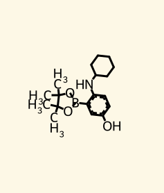 CC1(C)OB(c2cc(O)ccc2NC2CCCCC2)OC1(C)C